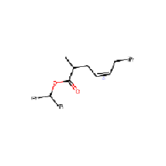 CC(C)C/C=C\CC(C)C(=O)OC(C(C)C)C(C)C